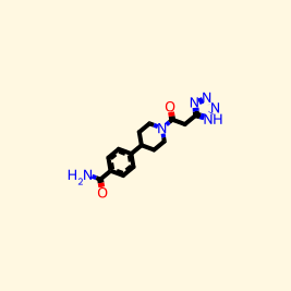 NC(=O)c1ccc(C2CCN(C(=O)Cc3nnn[nH]3)CC2)cc1